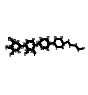 CCCCCC1CCC(c2ccc(-c3ccc(-c4cc(F)c(F)c(F)c4)c(F)c3F)nc2)CC1